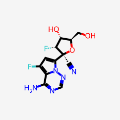 N#C[C@@]1(c2cc(F)c3c(N)ncnn23)O[C@H](CO)[C@@H](O)[C@H]1F